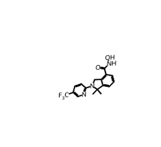 CC1(C)c2cccc(C(=O)NO)c2CN1c1ccc(C(F)(F)F)cn1